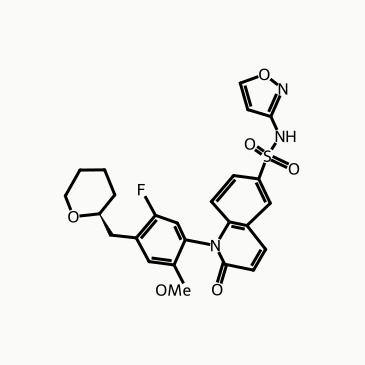 COc1cc(C[C@@H]2CCCCO2)c(F)cc1-n1c(=O)ccc2cc(S(=O)(=O)Nc3ccon3)ccc21